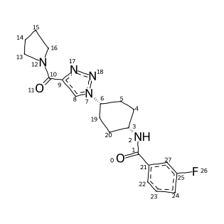 O=C(N[C@H]1CC[C@@H](n2cc(C(=O)N3CCCC3)nn2)CC1)c1cccc(F)c1